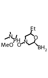 B[C@H]1CN(O[PH](C)(OC)N(C)C)CC(CC)O1